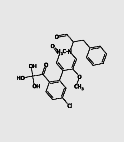 COC(=C/N(C)C(C=O)Cc1ccccc1)/C(=C\C=O)c1cc(Cl)ccc1C(=O)C(O)(O)O